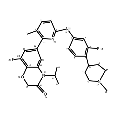 Cc1ccc(Nc2ccc(C3CCN(C)CC3)c(F)c2)nc1-c1cc(F)c2c(c1)N(C(C)C)C(=O)CO2